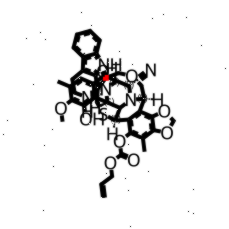 C=CCOC(=O)Oc1c(C)c2c(c3c1[C@H]1SC[C@]4(NCCc5c4[nH]c4ccccc54)C(=O)COC[C@@H]3N3C1[C@@H]1c4c(cc(C)c(OC)c4O)C[C@H]([C@@H]3C#N)N1C)OCO2